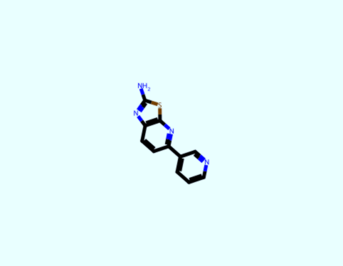 Nc1nc2ccc(-c3cccnc3)nc2s1